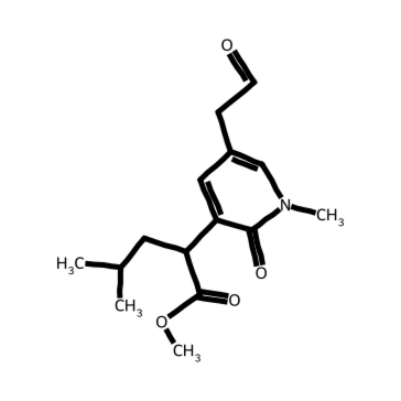 COC(=O)C(CC(C)C)c1cc(CC=O)cn(C)c1=O